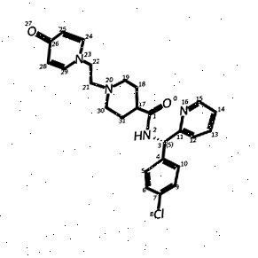 O=C(N[C@@H](c1ccc(Cl)cc1)c1ccccn1)C1CCN(CCn2ccc(=O)cc2)CC1